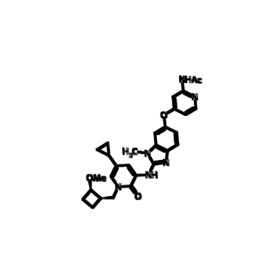 CO[C@@H]1CC[C@@H]1Cn1cc(C2CC2)cc(Nc2nc3ccc(Oc4ccnc(NC(C)=O)c4)cc3n2C)c1=O